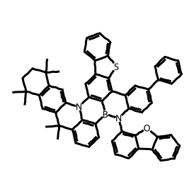 CC1(C)CCC(C)(C)c2cc3c(cc21)N1c2cc4c(sc5ccccc54)c4c2B(c2cccc(c21)C3(C)C)N(c1cccc2c1oc1ccccc12)c1ccc(-c2ccccc2)cc1-4